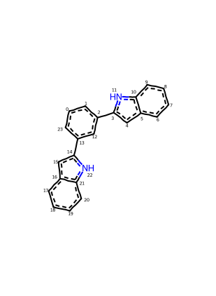 c1cc(-c2cc3ccccc3[nH]2)cc(-c2cc3ccccc3[nH]2)c1